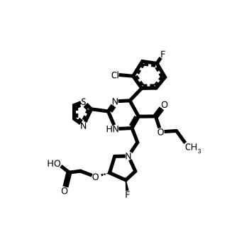 CCOC(=O)C1=C(CN2C[C@@H](F)[C@H](OCC(=O)O)C2)NC(c2nccs2)=NC1c1ccc(F)cc1Cl